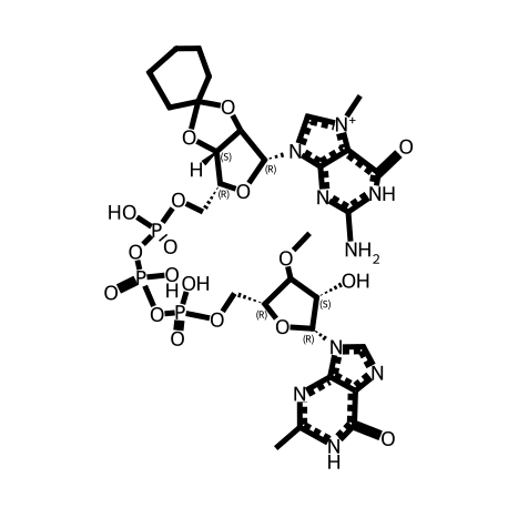 COC1[C@@H](COP(=O)(O)OP(=O)(O)OP(=O)(O)OC[C@H]2O[C@@H](n3c[n+](C)c4c(=O)[nH]c(N)nc43)C3OC4(CCCCC4)O[C@H]32)O[C@@H](n2cnc3c(=O)[nH]c(C)nc32)[C@H]1O